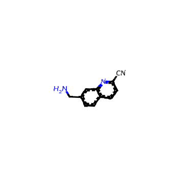 N#Cc1ccc2ccc(CN)cc2n1